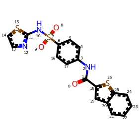 O=C(Nc1ccc(S(=O)(=O)Nc2nccs2)cc1)c1cc2ccccc2s1